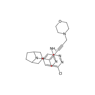 Nc1nnc(Cl)cc1N1CC2CCC(C1)N2c1ccnc(C#CCN2CCOCC2)c1